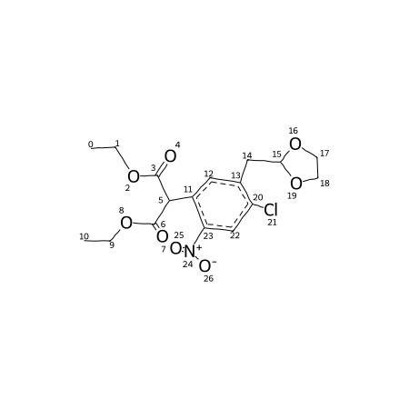 CCOC(=O)C(C(=O)OCC)c1cc(CC2OCCO2)c(Cl)cc1[N+](=O)[O-]